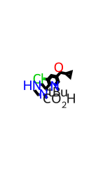 CC(C)(C)C1(c2ncc(C(=O)C3CC3)cc2Cl)CNCCN1C(=O)O